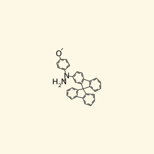 COc1ccc(N(N)c2ccc3c(c2)C2(c4ccccc4-c4ccccc42)c2ccccc2-3)cc1